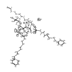 CCCCCCCCCCCCC(OC(=O)CCCCCCCCc1ccccc1)C(=O)C1(ON)C[C@H](OC(=O)CCCCCCCCc2ccccc2)[C@H](OS(=O)(=O)[O-])[C@@H](CO[Si](C)(C)C(C)(C)C)O1.[Na+]